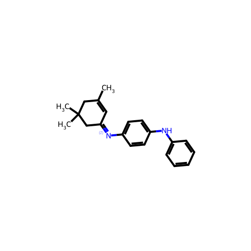 CC1=C/C(=N\c2ccc(Nc3ccccc3)cc2)CC(C)(C)C1